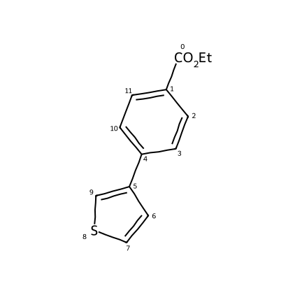 CCOC(=O)c1ccc(-c2ccsc2)cc1